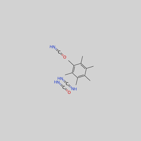 Cc1c(C)c(C)c(C)c(C)c1C.N=C=N.N=C=O.N=C=O